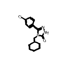 O=c1[nH]nc(-c2ccc(Cl)cc2)n1CC1CCCCC1